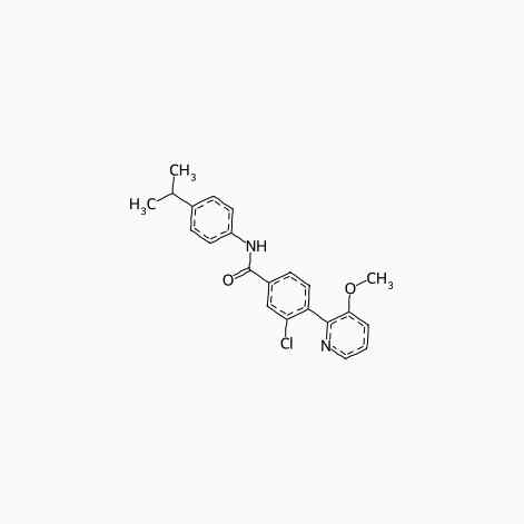 COc1cccnc1-c1ccc(C(=O)Nc2ccc(C(C)C)cc2)cc1Cl